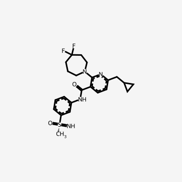 C[S@](=N)(=O)c1cccc(NC(=O)c2ccc(CC3CC3)nc2N2CCCC(F)(F)CC2)c1